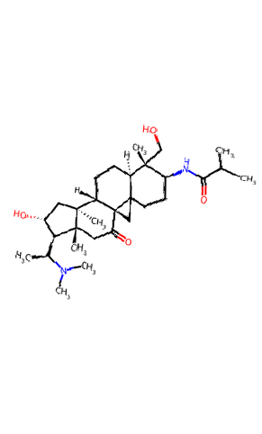 CC(C)C(=O)N[C@H]1CCC23C[C@]24C(=O)C[C@]2(C)[C@@H]([C@H](C)N(C)C)[C@H](O)C[C@@]2(C)[C@@H]4CC[C@H]3[C@]1(C)CO